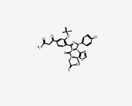 CC(C)(C)Oc1cc(C(=O)CC(N)=O)ccc1C1=N[C@@H](c2ccc(Cl)cc2)[C@@H](c2cscn2)N1C(=O)N1CCNC(=O)C1